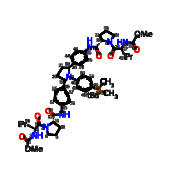 COC(=O)N[C@H](C(=O)N1CCC[C@H]1C(=O)Nc1ccc([C@H]2CC[C@@H](c3ccc(NC(=O)[C@@H]4CCCN4C(=O)[C@@H](NC(=O)OC)C(C)C)cc3)N2c2ccc(S(C)(C)C(C)(C)C)cc2)cc1)C(C)C